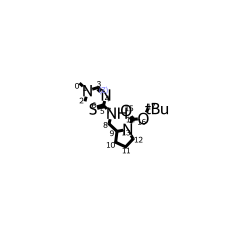 CN(C)/C=N\C(=S)NCC1CCCN1C(=O)OC(C)(C)C